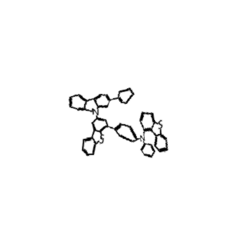 c1ccc(-c2ccc3c4ccccc4n(-c4cc(-c5ccc(N(c6ccccc6)c6cccc7sc8ccccc8c67)cc5)c5sc6ccccc6c5c4)c3c2)cc1